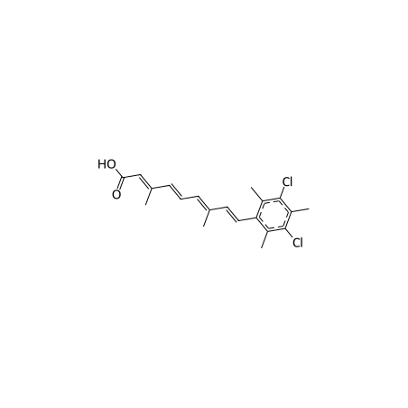 CC(/C=C/c1c(C)c(Cl)c(C)c(Cl)c1C)=C\C=C\C(C)=C\C(=O)O